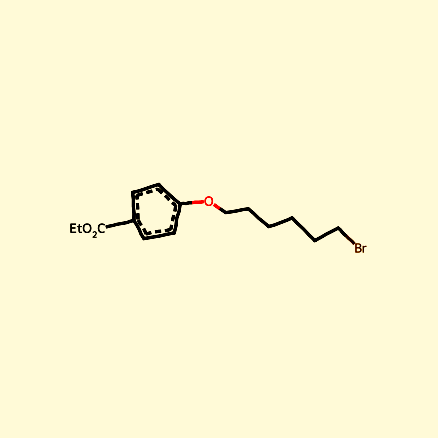 CCOC(=O)c1ccc(OCCCCCCBr)cc1